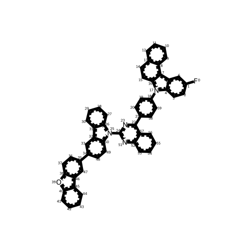 Fc1ccc2c(c1)c1c3ccccc3ccc1n2-c1ccc(-c2nc(-n3c4ccccc4c4cc(-c5ccc6oc7ccccc7c6c5)ccc43)nc3ccccc23)cc1